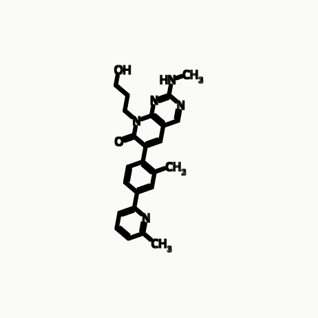 CNc1ncc2cc(-c3ccc(-c4cccc(C)n4)cc3C)c(=O)n(CCCO)c2n1